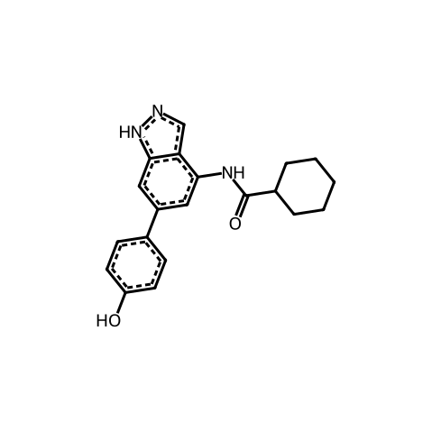 O=C(Nc1cc(-c2ccc(O)cc2)cc2[nH]ncc12)C1CCCCC1